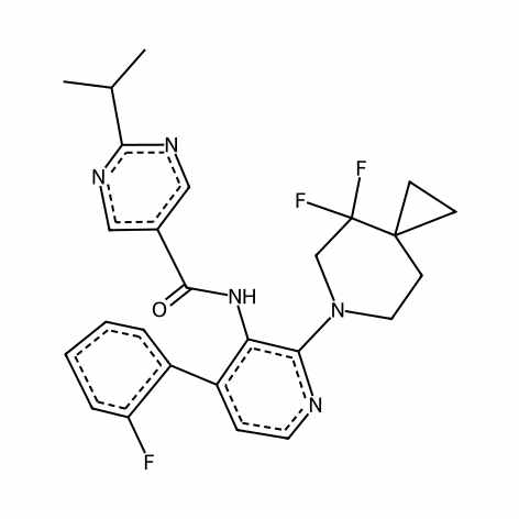 CC(C)c1ncc(C(=O)Nc2c(-c3ccccc3F)ccnc2N2CCC3(CC3)C(F)(F)C2)cn1